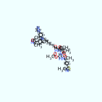 CC(=O)O[C@@H]1C[C@@H](C(=O)N[C@@H](C)c2ccc(-c3scnc3C)cc2)N(C(=O)[C@@H](NC(=O)COCCCCCCCCN(c2ccc(-n3ccnc3)cc2)c2cc(-c3c(C)noc3C)ccc2C)C(C)(C)C)C1